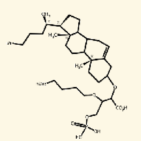 CCCCCCCCCCCCCCOC(COP(=O)(O)O)C(OC1CC[C@@]2(C)C(=CCC3C2CC[C@@]2(C)C3CC[C@@H]2[C@H](C)CCCC(C)C)C1)C(=O)O